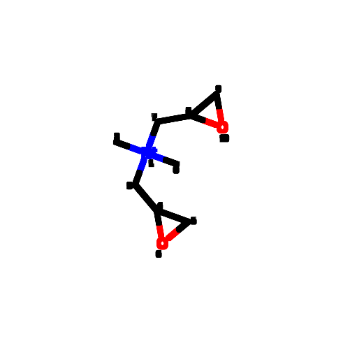 C[N+](C)(CC1CO1)CC1CO1